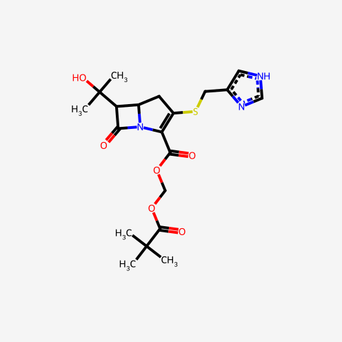 CC(C)(C)C(=O)OCOC(=O)C1=C(SCc2c[nH]cn2)CC2C(C(C)(C)O)C(=O)N12